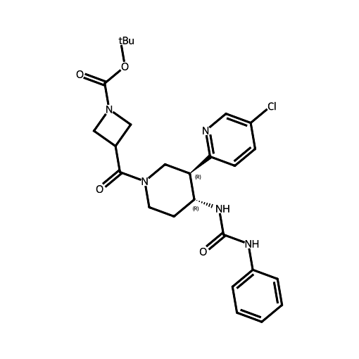 CC(C)(C)OC(=O)N1CC(C(=O)N2CC[C@@H](NC(=O)Nc3ccccc3)[C@H](c3ccc(Cl)cn3)C2)C1